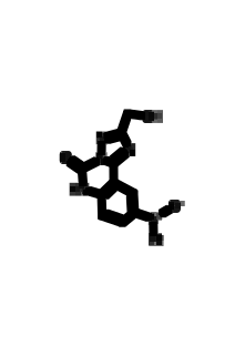 CC[S+]([O-])c1ccc2[nH]c(=O)n3nc(CO)nc3c2c1